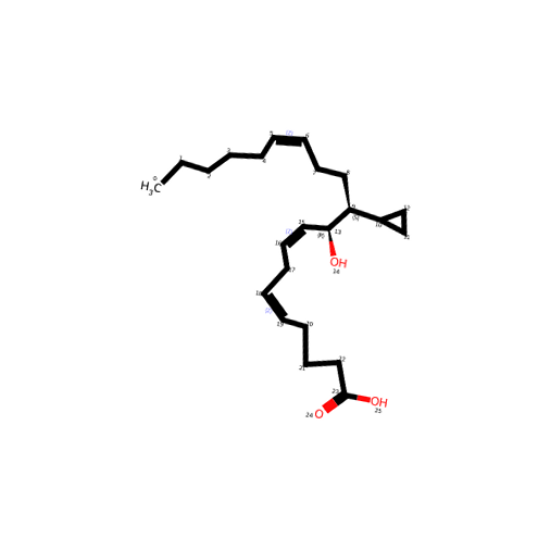 CCCCC/C=C\CC[C@@H](C1CC1)[C@@H](O)/C=C\C/C=C\CCCC(=O)O